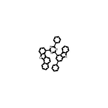 c1ccc(-c2cc(-c3nc(-c4ccccc4)nc(-c4cccc5oc6c7ccccc7ccc6c45)n3)c3c(c2)sc2ccccc23)cc1